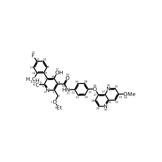 CCOCc1nc(C)c(-c2ccc(F)cc2C)c(O)c1C(=O)Nc1ccc(Oc2ccnc3cc(OC)cnc23)cc1